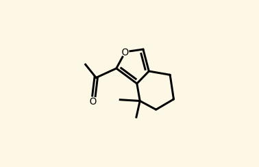 CC(=O)c1occ2c1C(C)(C)CCC2